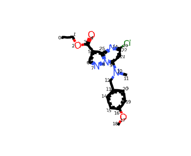 CCOC(=O)c1cnn2c(N(C)Cc3ccc(OC)cc3)cc(Cl)nc12